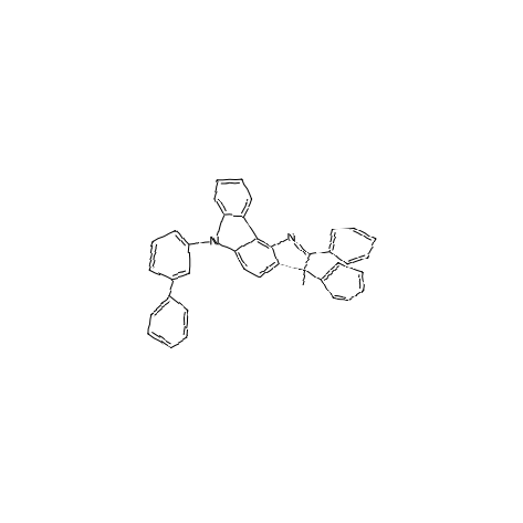 CC1(c2ccccc2)C(c2ccccc2)=Nc2c1ccc1c2c2ccccc2n1-c1cccc(-c2ccccc2)c1